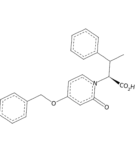 CC(c1ccccc1)[C@@H](C(=O)O)n1ccc(OCc2ccccc2)cc1=O